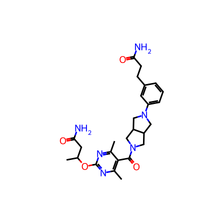 Cc1nc(OC(C)CC(N)=O)nc(C)c1C(=O)N1CC2CN(c3cccc(CCC(N)=O)c3)CC2C1